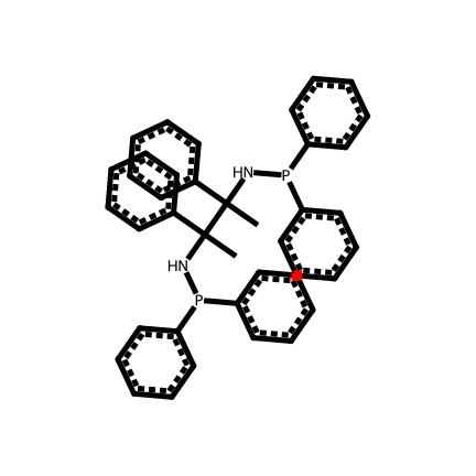 CC(NP(c1ccccc1)c1ccccc1)(c1ccccc1)C(C)(NP(c1ccccc1)c1ccccc1)c1ccccc1